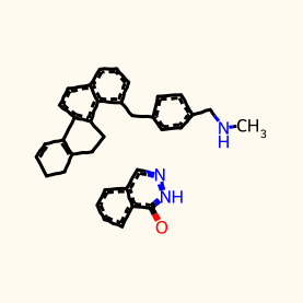 CNCc1ccc(Cc2cccc3ccc4c(c23)CCC2=C4C=CCC2)cc1.O=c1[nH]ncc2ccccc12